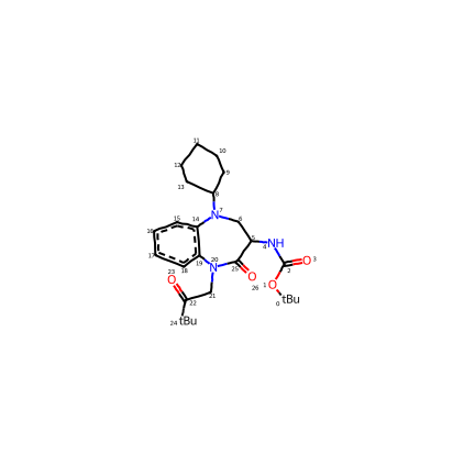 CC(C)(C)OC(=O)NC1CN(C2CCCCC2)c2ccccc2N(CC(=O)C(C)(C)C)C1=O